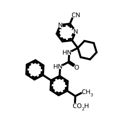 CC(C(=O)O)c1ccc(-c2ccccc2)c(NC(=O)NC2(c3ccnc(C#N)n3)CCCCC2)c1